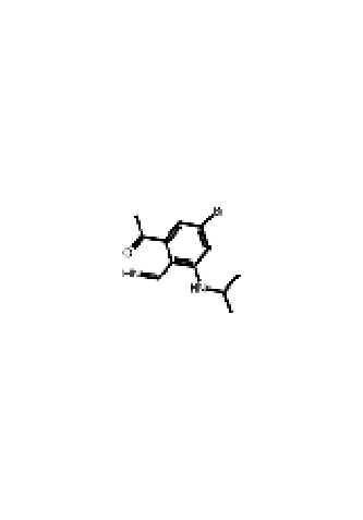 CC(=O)c1cc(Br)cc(NC(C)C)c1C=N